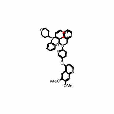 COc1cc2nccc(Oc3ccc(N(Cc4ccccc4)C(=O)c4c(N(c5ccccc5)C5CCOCC5)cc[nH]c4=O)nc3)c2cc1OC